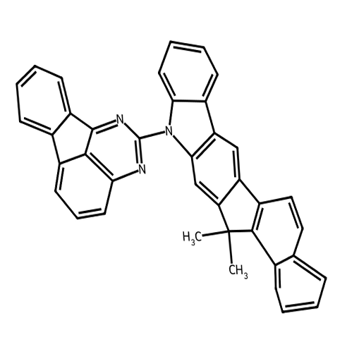 CC1(C)c2cc3c(cc2-c2ccc4ccccc4c21)c1ccccc1n3-c1nc2c3c(cccc3n1)-c1ccccc1-2